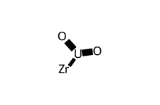 [O]=[U](=[O])[Zr]